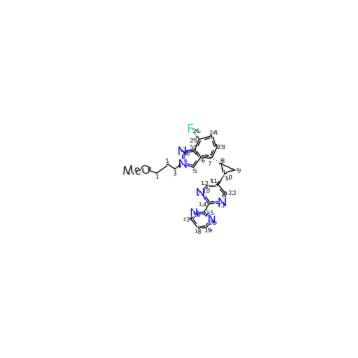 COCCCn1cc2c([C@@H]3C[C@H]3c3cnc(-c4ncccn4)nc3)ccc(F)c2n1